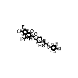 CC(C)n1cc(C(=O)NC2CCN(C[C@@H](O)COc3ccc(Cl)c(F)c3)CC2)c(=O)c2cc(F)c(Cl)cc21